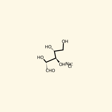 O=C[C@H](O)[C@H](O)[C@H](O)CO.[Cl-].[Na+]